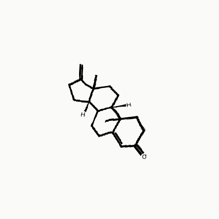 C=C1CC[C@H]2C3CCC4=CC(=O)CCC4(C)[C@H]3CCC12C